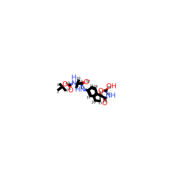 CC(C)(C)OC(=O)NC(C)(C)C(=O)Nc1ccc2c(c1)CC[C@]21OC(O)NC1=O